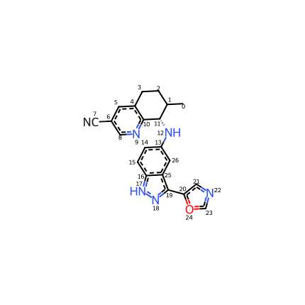 CC1CCc2cc(C#N)cnc2[C@H]1Nc1ccc2[nH]nc(-c3cnco3)c2c1